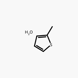 Cc1cccs1.O